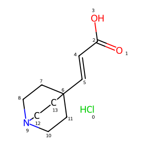 Cl.O=C(O)/C=C/C12CCN(CC1)CC2